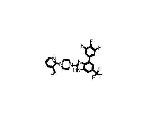 FCc1cccnc1N1CCN(c2nc3c(-c4cc(F)c(F)c(F)c4)cc(C(F)(F)F)cc3[nH]2)CC1